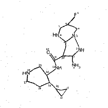 NC1NN2CC(F)CNC2C1C(=O)NC1CNCCC1C1CC1